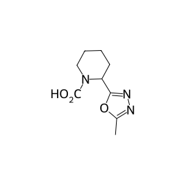 Cc1nnc(C2CCCCN2C(=O)O)o1